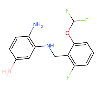 Bc1ccc(N)c(NCc2c(F)cccc2OC(F)F)c1